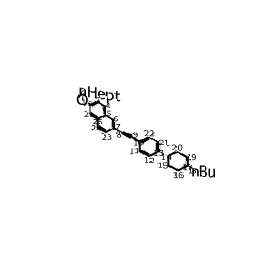 CCCCCCCOc1ccc2cc(C#Cc3ccc([C@H]4CC[C@H](CCCC)CC4)cc3)ccc2c1